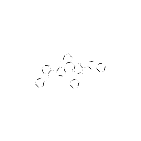 c1ccc(-c2nc(-c3ccc4ccccc4c3)nc(-c3cncc4oc5c(-c6cccc7c6sc6ccccc67)cccc5c34)n2)cc1